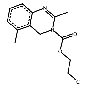 CC1=Nc2cccc(C)c2CN1C(=O)OCCCl